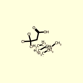 O=C(O)CC(Cl)(Cl)Cl.[CH2]C.[CH2]C.[CH2]C.[CH2]C